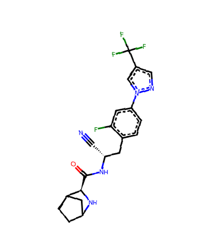 N#C[C@H](Cc1ccc(-n2cc(C(F)(F)F)cn2)cc1F)NC(=O)[C@H]1NC2CCC1C2